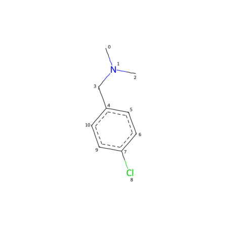 CN(C)[CH]c1ccc(Cl)cc1